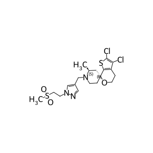 C[C@H]1C[C@@]2(CCN1Cc1cnn(CCS(C)(=O)=O)c1)OCCc1c2sc(Cl)c1Cl